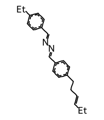 CC/C=C/CCc1ccc(/C=N/N=C/c2ccc(CC)cc2)cc1